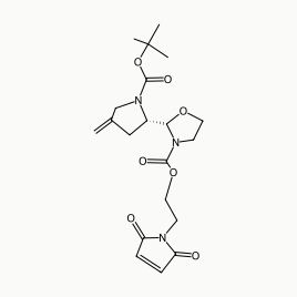 C=C1C[C@@H](C2OCCN2C(=O)OCCN2C(=O)C=CC2=O)N(C(=O)OC(C)(C)C)C1